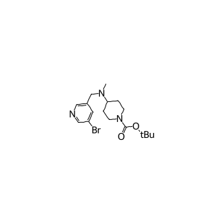 CN(Cc1cncc(Br)c1)C1CCN(C(=O)OC(C)(C)C)CC1